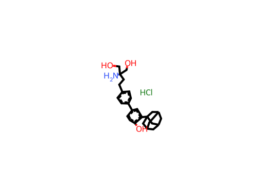 Cl.NC(CO)(CO)CCc1ccc(-c2ccc(O)c(C34CC5CC(CC(C5)C3)C4)c2)cc1